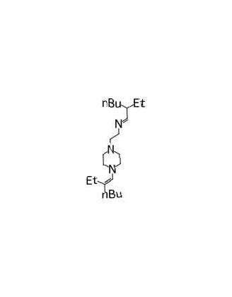 CCCCC(=CN1CCN(CCN=CC(CC)CCCC)CC1)CC